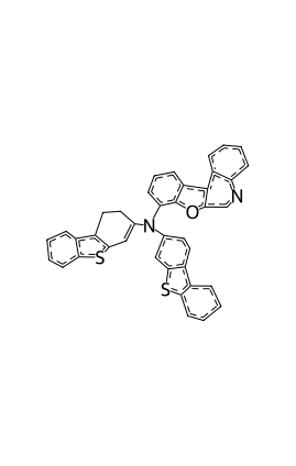 C1=C(N(c2ccc3c(c2)sc2ccccc23)c2cccc3c2oc2cnc4ccccc4c23)CCc2c1sc1ccccc21